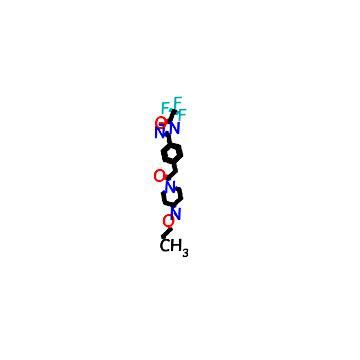 CCCON=C1CCN(C(=O)Cc2ccc(-c3noc(C(F)(F)F)n3)cc2)CC1